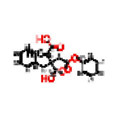 C=C(C(=O)O)C(CC(=O)Oc1ccccc1)(Cc1ccccc1)C(=O)O